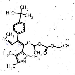 CCOC(=O)OC(C)O/C(=C(/C=N\C)c1ccc(C(C)(C)C)cc1)c1c(C)c(C)nn1C